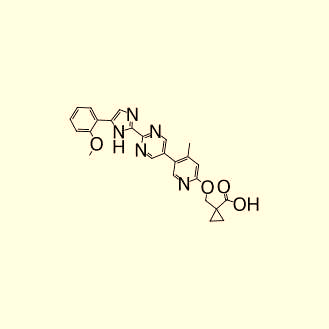 COc1ccccc1-c1cnc(-c2ncc(-c3cnc(OCC4(C(=O)O)CC4)cc3C)cn2)[nH]1